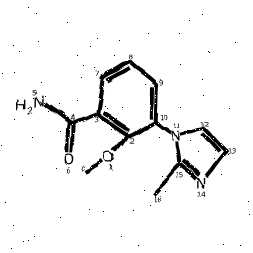 COc1c(C(N)=O)cccc1-n1ccnc1C